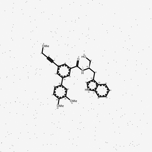 COCC#Cc1cc(C(=O)N[C@@H](CO)Cc2c[nH]c3ccccc23)cc(-c2ccc(OC)c(OC)c2)c1